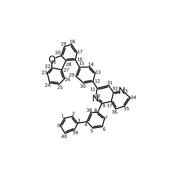 c1ccc(-c2cccc(-c3nc(-c4ccc(-c5cccc6oc7ccccc7c56)cc4)cc4ncccc34)c2)cc1